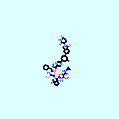 CCC[C@H](NC(=O)[C@@H]1[C@H]2CCC[C@H]2CN1C(=O)[C@@H](NC(=O)[C@@H](NC(=O)c1cnc(C2CCC(c3ccc4c(c3)CN(C3CCC(=O)NC3=O)C4=O)CC(C)C2)cn1)C1CCCCC1)C(C)(C)C)C(=O)C(=O)NC1CC1